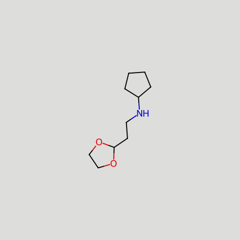 C1CCC(NCCC2OCCO2)C1